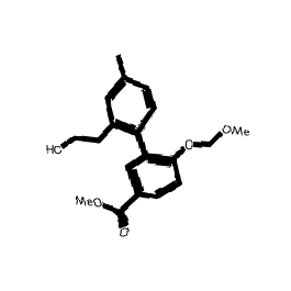 COCOc1ccc(C(=O)OC)cc1-c1ccc(C)cc1CCO